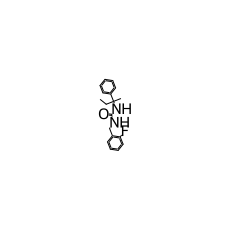 CCC(C)(NC(=O)NCc1ccccc1F)c1ccccc1